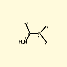 [CH2]C(N)N(C)C